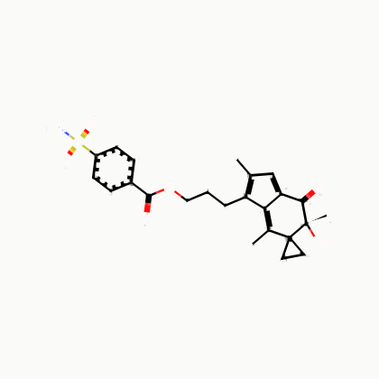 CC1=C(CCCOC(=O)c2ccc(S(N)(=O)=O)cc2)C2=C(C)C3(CC3)[C@@](C)(O)C(=O)C2=C1